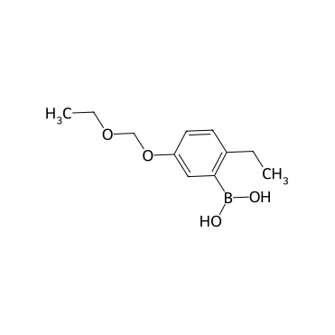 CCOCOc1ccc(CC)c(B(O)O)c1